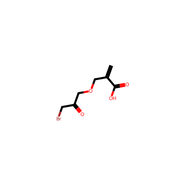 C=C(COCC(=O)CBr)C(=O)O